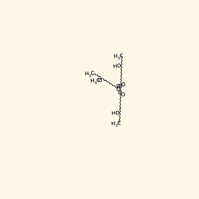 CCCCCCC(O)C/C=C/CCCCCCCC(=O)OCC(COC(=O)CCCCCCC/C=C/CC(O)CCCCCC)OC(=O)CCCCCCC/C=C/CC(CCCCCC)OC